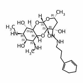 CN[C@@H]1[C@H](O)[C@H](NC)[C@H]2O[C@]3(O)[C@H](O[C@@H]2[C@H]1O)O[C@H](C)C[C@@]3(O)CNCCCC1=CCCC=C1